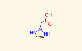 O=C(O)CN1NC=CN1